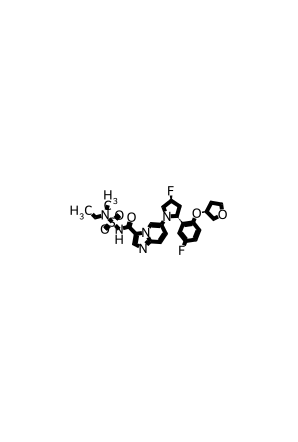 CCN(C)S(=O)(=O)NC(=O)c1cnc2ccc(N3C[C@@H](F)C[C@@H]3c3cc(F)ccc3O[C@@H]3CCOC3)cn12